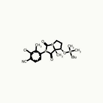 Cc1c(N2C(=O)N3CC[C@@H](O[Si](C)(C)C(C)(C)C)[C@]3(C)C2=O)ccc(C#N)c1Cl